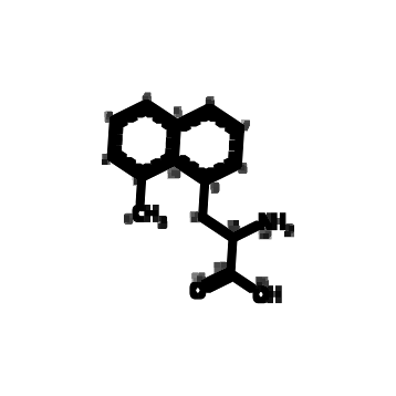 Cc1cccc2cccc(CC(N)C(=O)O)c12